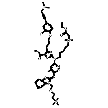 CCOC(=O)C[N+](C)(C)CCCCCN(c1cc(C)c(/N=c2\sc3ccccc3n2COCC[Si](C)(C)C)nn1)c1nc(C(=O)OC)c(CCCOc2ccc(C#CCN(C)C)cc2F)s1